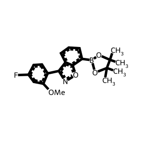 COc1cc(F)ccc1-c1noc2c(B3OC(C)(C)C(C)(C)O3)cccc12